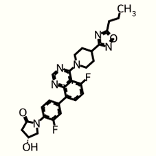 CCCc1nc(C2CCN(c3ncnc4c(-c5ccc(N6C[C@H](O)CC6=O)c(F)c5)ccc(F)c34)CC2)no1